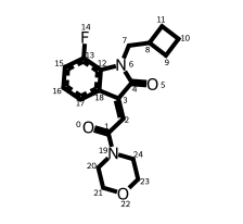 O=C(/C=C1/C(=O)N(CC2CCC2)c2c(F)cccc21)N1CCOCC1